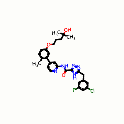 Cc1ccc(OCCCC(C)(C)O)cc1-c1ccnc(NC(=O)c2nnc(Cc3cc(F)cc(Cl)c3)[nH]2)c1